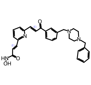 O=C(/C=C/c1cccc(/C=C/C(=O)c2cccc(CN3CCN(Cc4ccccc4)CC3)c2)n1)NO